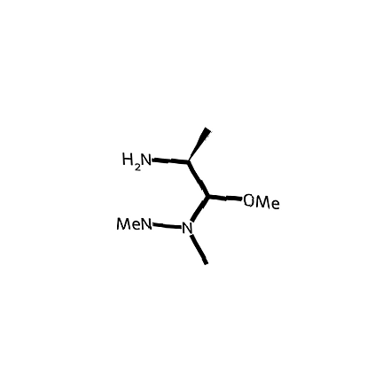 CNN(C)C(OC)[C@H](C)N